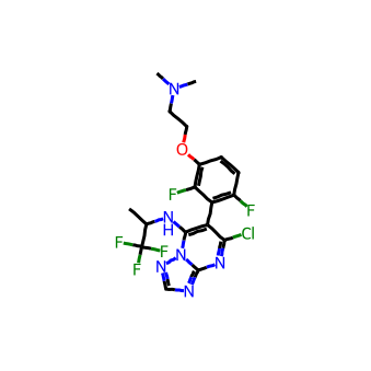 CC(Nc1c(-c2c(F)ccc(OCCN(C)C)c2F)c(Cl)nc2ncnn12)C(F)(F)F